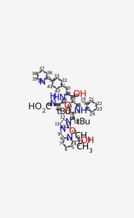 CC(C)(O)c1cccc(CN2CCN([C@H](C(=O)N[C@@H](Cc3ccccc3)C[C@@H](O)[C@H](Cc3ccc(-c4ccccn4)cc3)NC(=O)[C@@H](NC(=O)O)C(C)(C)C)C(C)(C)C)C2=O)n1